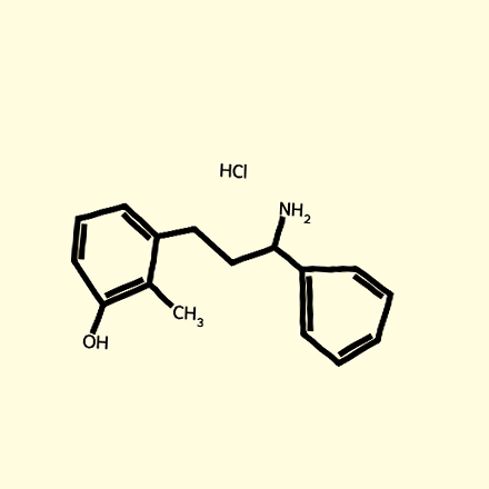 Cc1c(O)cccc1CCC(N)c1ccccc1.Cl